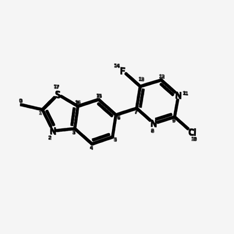 Cc1nc2ccc(-c3nc(Cl)ncc3F)cc2s1